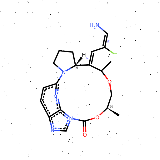 CC1OC[C@@H](C)OC(=O)n2cnc3ccc(nc32)N2CCC[C@@H]2/C1=C/C(F)=C\N